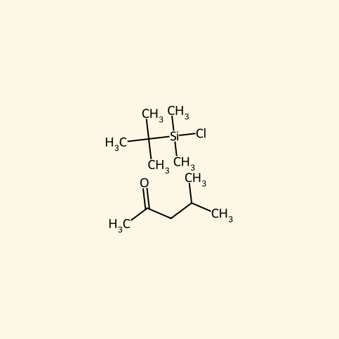 CC(=O)CC(C)C.CC(C)(C)[Si](C)(C)Cl